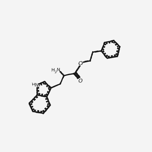 NC(Cc1c[nH]c2ccccc12)C(=O)OCCc1ccccc1